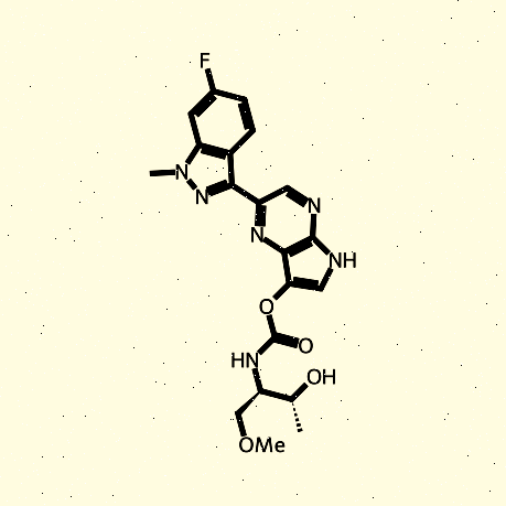 COC[C@@H](NC(=O)Oc1c[nH]c2ncc(-c3nn(C)c4cc(F)ccc34)nc12)[C@@H](C)O